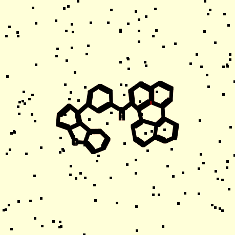 c1ccc(-c2cccc3cccc(-c4ccccc4Nc4cccc(-c5cccc6oc7ccccc7c56)c4)c23)cc1